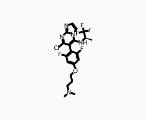 C[C@@H](Nc1c(-c2c(F)cc(OCCCN(C)C)cc2F)c(Cl)nc2nccn12)C(F)(F)F